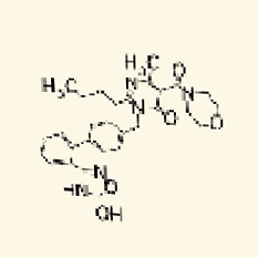 CCCCc1nc(C)c(C(=O)N2CCOCC2)c(=O)n1Cc1ccc(-c2ccccc2C2=NOC(O)N2)cc1